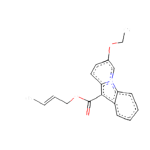 CCC/C=C/COC(=O)c1c2ccccc2n2cc(OCC#N)ccc12